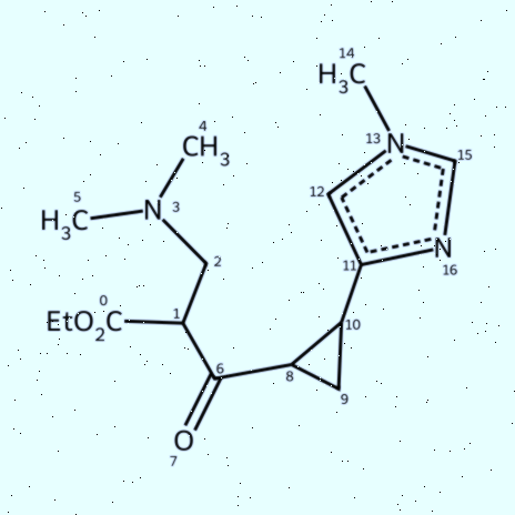 CCOC(=O)C(CN(C)C)C(=O)C1CC1c1cn(C)cn1